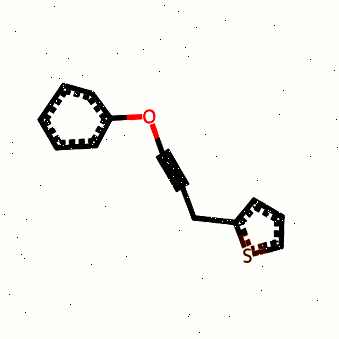 C(#COc1ccccc1)Cc1cccs1